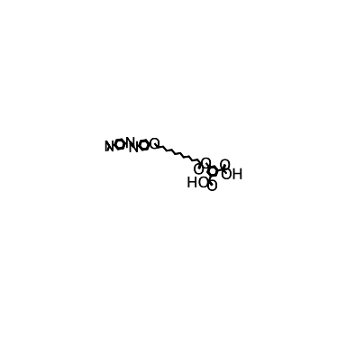 CN(C)c1ccc(N=Nc2ccc(OCCCCCCCCCCC(=O)Oc3cc(C(=O)O)cc(C(=O)O)c3)cc2)cc1